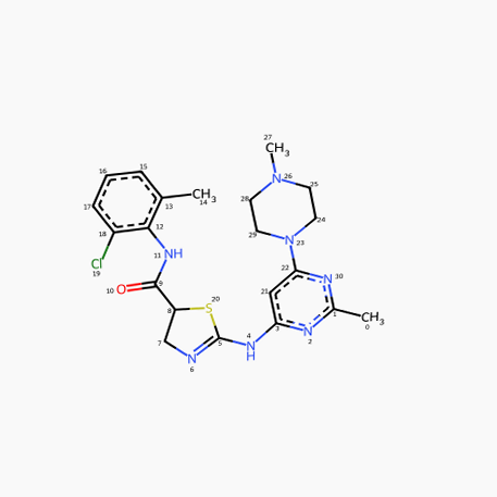 Cc1nc(NC2=NCC(C(=O)Nc3c(C)cccc3Cl)S2)cc(N2CCN(C)CC2)n1